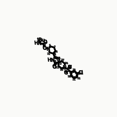 CC(C)(C)NC(=O)ON1CCCC(C2=NC3(CCN(S(=O)(=O)c4cccc(Cl)c4)CC3)C(=O)N2)C1